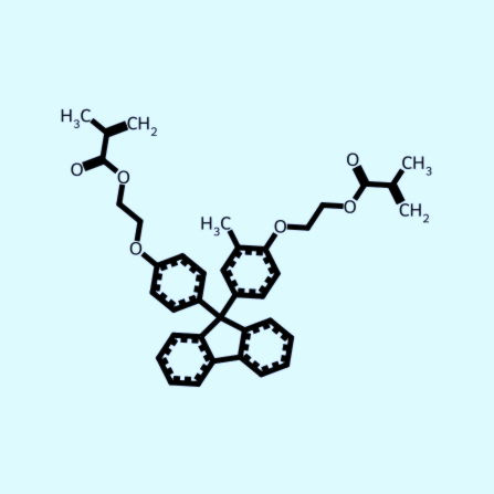 C=C(C)C(=O)OCCOc1ccc(C2(c3ccc(OCCOC(=O)C(=C)C)c(C)c3)c3ccccc3-c3ccccc32)cc1